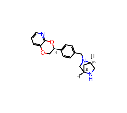 c1cnc2c(c1)OC[C@H](c1ccc(CN3C[C@@H]4C[C@@H]3CN4)cc1)O2